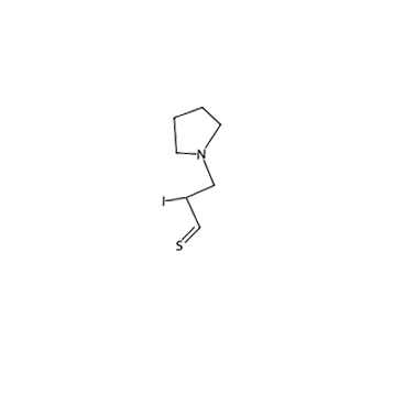 S=CC(I)CN1CCCC1